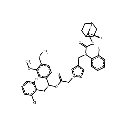 COc1ccc([C@H](Cc2c(Cl)cncc2Cl)OC(=O)Cn2cc(CN(C(=O)O[C@H]3CN4CCC3CC4)c3ccccc3F)cn2)cc1OC